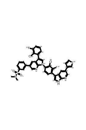 CN(C)S(=O)(=O)c1cccc(-c2cnc3c(c2)c(-c2cccc(F)c2Cl)cn3-c2ccc(-c3c[nH]c4ncc(-c5ccsc5)cc34)c(F)c2Cl)c1